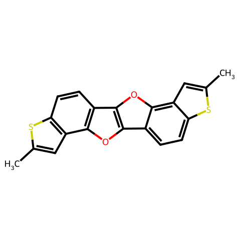 Cc1cc2c(ccc3c2oc2c4ccc5sc(C)cc5c4oc32)s1